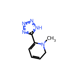 CN1CC=CC=C1c1nnn[nH]1